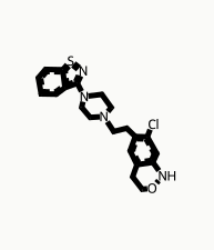 Clc1cc2c(cc1CCN1CCN(c3nsc4ccccc34)CC1)CCON2